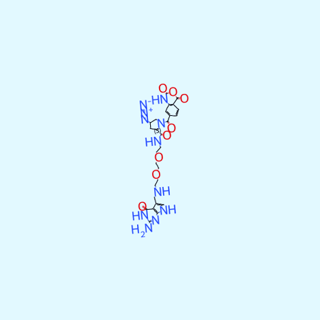 [N-]=[N+]=NC1C[C@@H](C(=O)NCCOCCOCCNCc2c[nH]c3nc(N)[nH]c(=O)c23)N(C(=O)c2ccc3c(=O)oc(=O)[nH]c3c2)C1